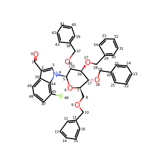 O=Cc1cn([C@@H]2O[C@H](COCc3ccccc3)[C@@H](OCc3ccccc3)[C@H](OCc3ccccc3)[C@H]2OCc2ccccc2)c2c(F)cccc12